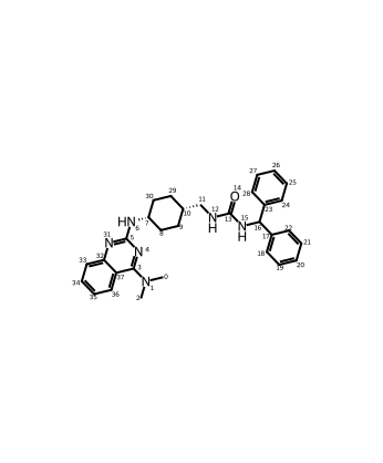 CN(C)c1nc(N[C@H]2CC[C@@H](CNC(=O)NC(c3ccccc3)c3ccccc3)CC2)nc2ccccc12